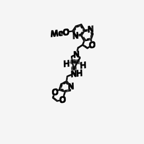 COc1ccc2ncc3c(c2n1)C(CN1C[C@@H]2[C@H](C1)[C@H]2NCc1cc2c(cn1)OCCO2)CO3